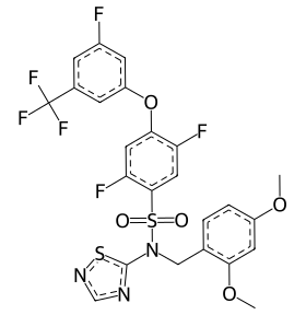 COc1ccc(CN(c2ncns2)S(=O)(=O)c2cc(F)c(Oc3cc(F)cc(C(F)(F)F)c3)cc2F)c(OC)c1